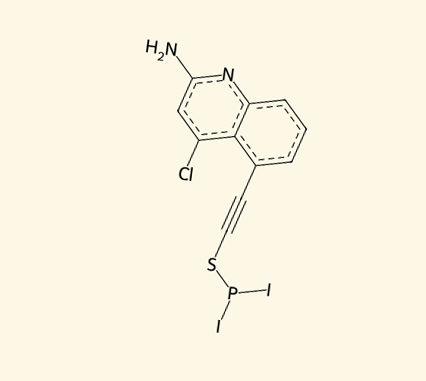 Nc1cc(Cl)c2c(C#CSP(I)I)cccc2n1